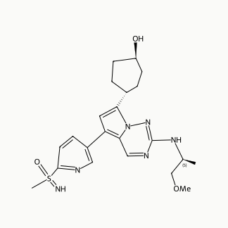 COC[C@H](C)Nc1ncc2c(-c3ccc(S(C)(=N)=O)nc3)cc([C@H]3CC[C@H](O)CC3)n2n1